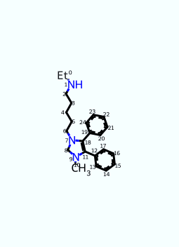 CCNCCCCCN1CN(C)C(c2ccccc2)=C1c1ccccc1